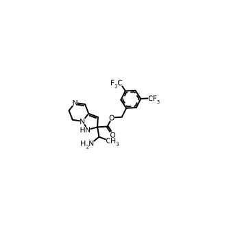 CC(N)C1(C(=O)OCc2cc(C(F)(F)F)cc(C(F)(F)F)c2)C=C2C=NCCN2N1